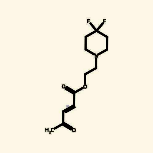 CC(=O)/C=C/C(=O)OCCN1CCC(F)(F)CC1